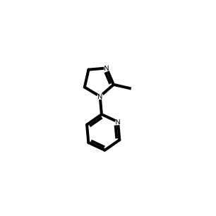 CC1=NCCN1c1ccccn1